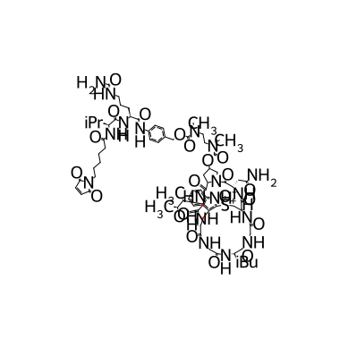 CC[C@H](C)[C@@H]1NC(=O)CNC(=O)[C@@H]2Cc3c([nH]c4ccccc34)[S+]([O-])C[C@H](NC(=O)CNC1=O)C(=O)N[C@@H](CC(N)=O)C(=O)N1C[C@H](OC(=O)N(C)CCN(C)C(=O)OCc3ccc(NC(=O)[C@H](CCCNC(N)=O)NC(=O)[C@@H](NC(=O)CCCCCN4C(=O)C=CC4=O)C(C)C)cc3)CC1C(=O)N[C@@H]([C@@H](C)[C@H](C)O)C(=O)N2